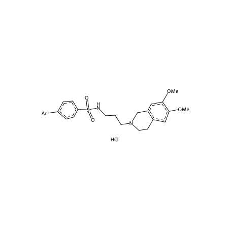 COc1cc2c(cc1OC)CN(CCCNS(=O)(=O)c1ccc(C(C)=O)cc1)CC2.Cl